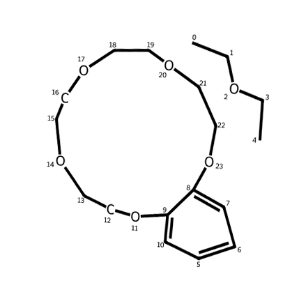 CCOCC.c1ccc2c(c1)OCCOCCOCCOCCO2